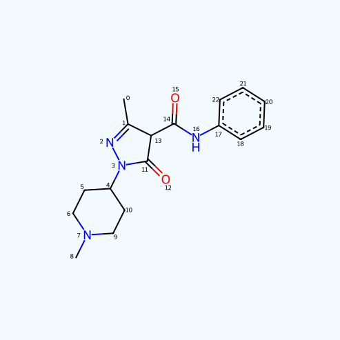 CC1=NN(C2CCN(C)CC2)C(=O)C1C(=O)Nc1ccccc1